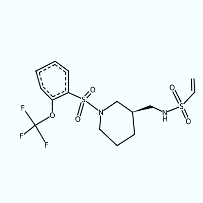 C=CS(=O)(=O)NC[C@H]1CCCN(S(=O)(=O)c2ccccc2OC(F)(F)F)C1